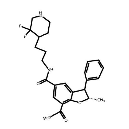 CNC(=O)c1cc(C(=O)NCCCC2CCNCC2(F)F)cc2c1O[C@@H](C)C2c1ccccc1